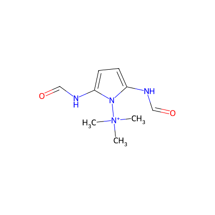 C[N+](C)(C)n1c(NC=O)ccc1NC=O